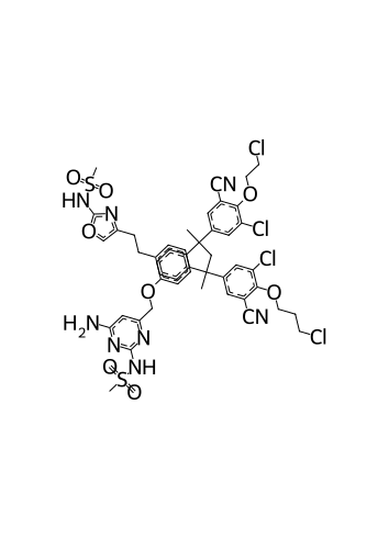 CC(CC(C)(c1ccc(CCc2coc(NS(C)(=O)=O)n2)cc1)c1cc(Cl)c(OCCCCl)c(C#N)c1)(c1ccc(OCc2cc(N)nc(NS(C)(=O)=O)n2)cc1)c1cc(Cl)c(OCCCl)c(C#N)c1